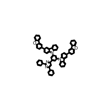 c1ccc(-c2cc(-c3cc(-n4c5ccccc5c5cc(-c6ccc7oc8ccccc8c7c6)ccc54)cc(-n4c5ccccc5c5cc(-c6ccc7oc8ccccc8c7c6)ccc54)c3)nc(-c3ccccc3)n2)cc1